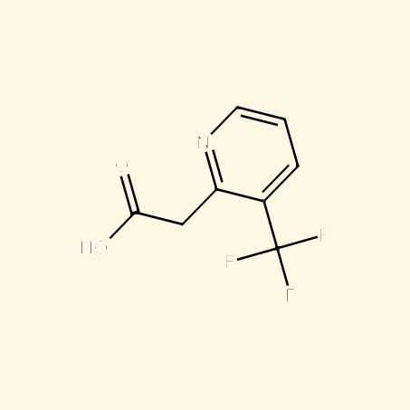 O=C(O)Cc1ncccc1C(F)(F)F